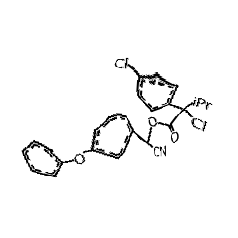 CC(C)C(Cl)(C(=O)OC(C#N)c1cccc(Oc2ccccc2)c1)c1ccc(Cl)cc1